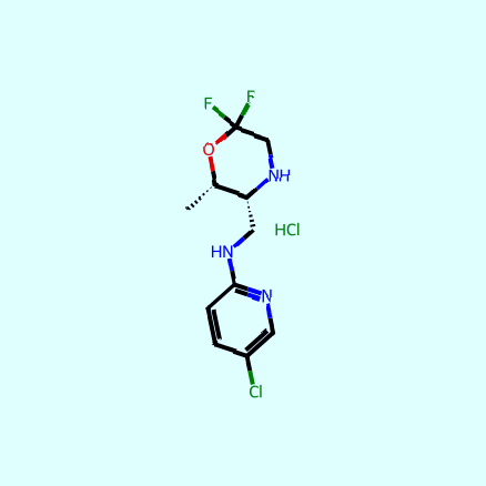 C[C@@H]1OC(F)(F)CN[C@@H]1CNc1ccc(Cl)cn1.Cl